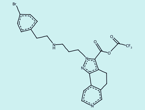 O=C(OC(=O)C(F)(F)F)c1c2c(nn1CCCNCCc1ccc(Br)cc1)-c1ccncc1CC2